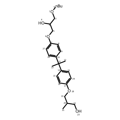 CCCCOCC(O)COc1ccc(C(C)(C)c2ccc(OCC(C)CO)cc2)cc1